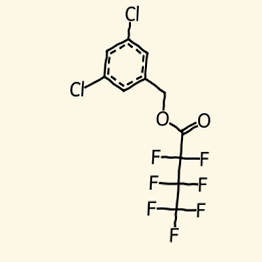 O=C(OCc1cc(Cl)cc(Cl)c1)C(F)(F)C(F)(F)C(F)(F)F